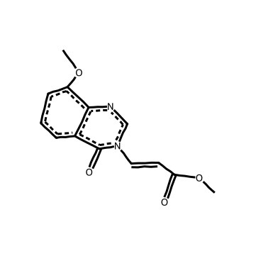 COC(=O)C=Cn1cnc2c(OC)cccc2c1=O